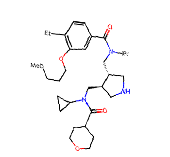 CCc1ccc(C(=O)N(C[C@@H]2CNC[C@H]2CN(C(=O)C2CCOCC2)C2CC2)C(C)C)cc1OCCCOC